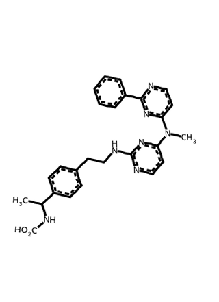 CC(NC(=O)O)c1ccc(CCNc2nccc(N(C)c3ccnc(-c4ccccc4)n3)n2)cc1